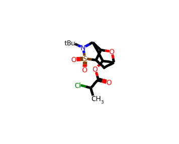 CC(Cl)C(=O)OC1C2CC3C(O2)C1N(C(C)(C)C)S3(=O)=O